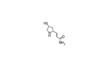 NC(=O)C=CC1CC(S)CN1